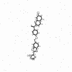 C=C(c1ccc(OCc2ccc3nc(-c4nnn[nH]4)oc3c2)cc1)c1ccc2ccc(Cl)cc2n1